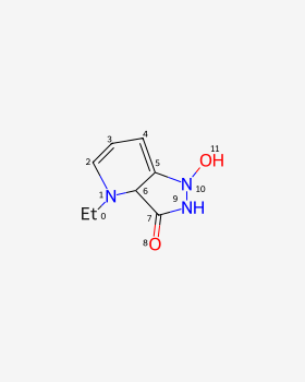 CCN1C=CC=C2C1C(=O)NN2O